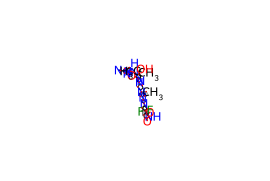 C[C@H]1CN(C2CN(c3cc(F)c([C@H]4CCC(=O)NC4=O)c(F)c3)C2)CCN1C1CCC(n2cc3cc(NC(=O)c4ccc5cc(C#N)cnn45)c(C(C)(C)O)cc3n2)CC1